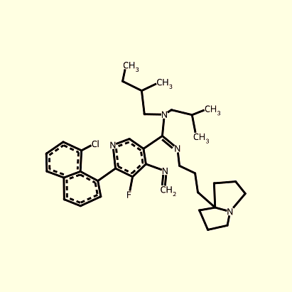 C=Nc1c(/C(=N\CCCC23CCCN2CCC3)N(CC(C)C)CC(C)CC)cnc(-c2cccc3cccc(Cl)c23)c1F